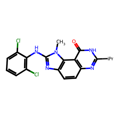 CC(C)c1nc2ccc3nc(Nc4c(Cl)cccc4Cl)n(C)c3c2c(=O)[nH]1